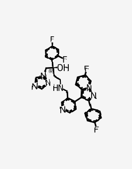 O[C@@](CCNCc1cnccc1-c1c(-c2ccc(F)cc2)nn2cc(F)ccc12)(Cn1cncn1)c1ccc(F)cc1F